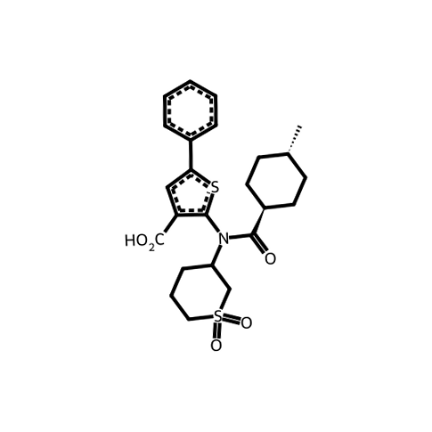 C[C@H]1CC[C@H](C(=O)N(c2sc(-c3ccccc3)cc2C(=O)O)C2CCCS(=O)(=O)C2)CC1